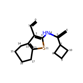 C=Cc1c(NC(=C)C2CCC2)sc2c1CCCC2